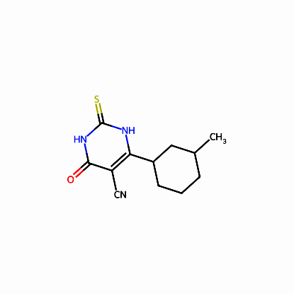 CC1CCCC(c2[nH]c(=S)[nH]c(=O)c2C#N)C1